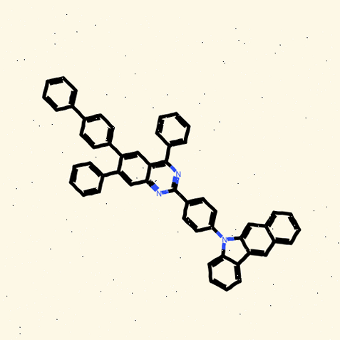 c1ccc(-c2ccc(-c3cc4c(-c5ccccc5)nc(-c5ccc(-n6c7ccccc7c7cc8ccccc8cc76)cc5)nc4cc3-c3ccccc3)cc2)cc1